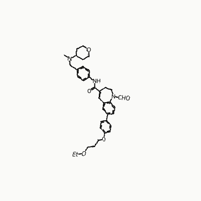 CCOCCCOc1ccc(-c2ccc3c(c2)C=C(C(=O)Nc2ccc(CN(C)C4CCOCC4)cc2)CCN3C=O)cc1